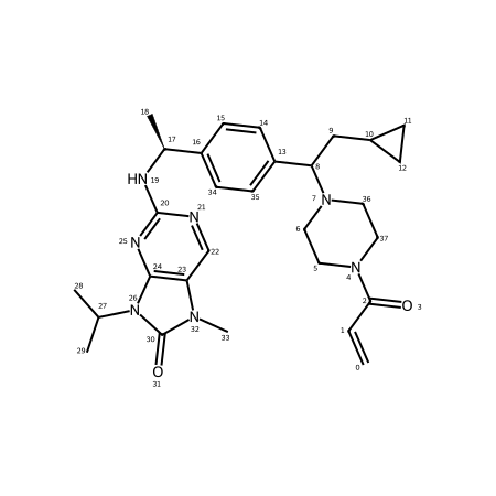 C=CC(=O)N1CCN(C(CC2CC2)c2ccc([C@H](C)Nc3ncc4c(n3)n(C(C)C)c(=O)n4C)cc2)CC1